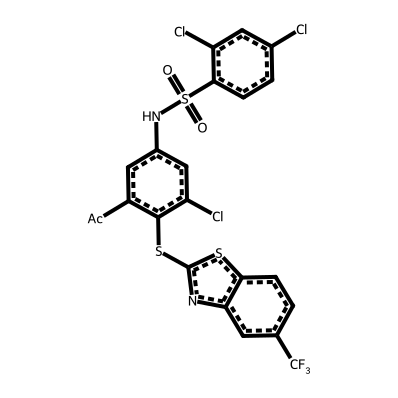 CC(=O)c1cc(NS(=O)(=O)c2ccc(Cl)cc2Cl)cc(Cl)c1Sc1nc2cc(C(F)(F)F)ccc2s1